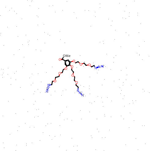 COC(=O)c1cc(OCCOCCOCCN=[N+]=[N-])c(OCCOCCOCCN=[N+]=[N-])c(OCCOCCOCCN=[N+]=[N-])c1